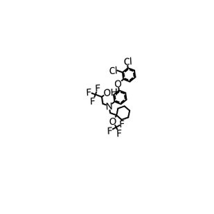 OC(CN(CC1(OC(F)(F)F)CCCCC1)c1cccc(Oc2cccc(Cl)c2Cl)c1)C(F)(F)F